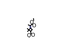 CCOC(=O)/C(C)=C1\CC(C(=O)OC)C1(C)C